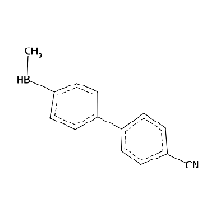 CBc1ccc(-c2ccc(C#N)cc2)cc1